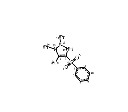 CC(C)C1=C(S(=O)(=O)c2ccccc2)NN(C(C)C)N1C(C)C